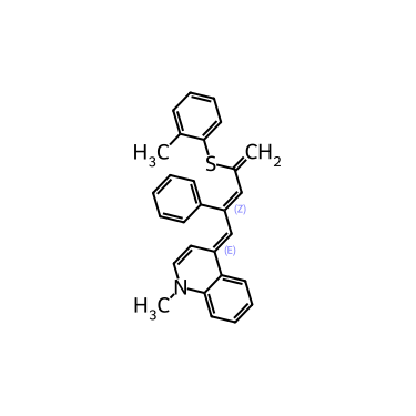 C=C(/C=C(/C=C1\C=CN(C)c2ccccc21)c1ccccc1)Sc1ccccc1C